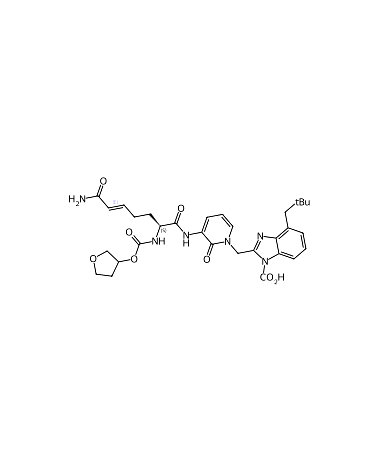 CC(C)(C)Cc1cccc2c1nc(Cn1cccc(NC(=O)[C@H](CC/C=C/C(N)=O)NC(=O)OC3CCOC3)c1=O)n2C(=O)O